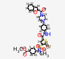 COC(=O)c1ccc(N(C)S(=O)(=O)c2cc(C(=O)Nc3ccc(N4CCN(C(=O)c5cc6ccccc6o5)CC4)cc3)sc2Br)cc1